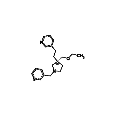 CCOC[C@]1(CCc2cccnc2)CCN(Cc2cccnc2)C1